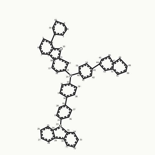 c1ccc(-c2cccc3c2oc2cc(N(c4ccc(-c5ccc(-n6c7ccccc7c7ccccc76)cc5)cc4)c4ccc(-c5ccc6ccccc6c5)cc4)ccc23)cc1